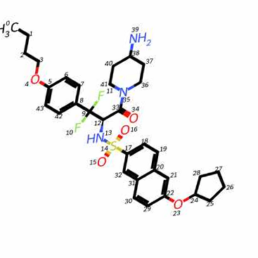 CCCCOc1ccc(C(F)(F)[C@H](NS(=O)(=O)c2ccc3cc(OC4CCCC4)ccc3c2)C(=O)N2CCC(N)CC2)cc1